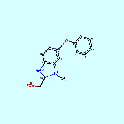 CN1c2cc(Oc3ccccc3)ccc2NC1CO